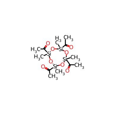 CC(=O)[Si]1(C)O[Si](C)(C(C)=O)O[Si](C)(C(C)=O)O[Si](C)(C(C)=O)O1